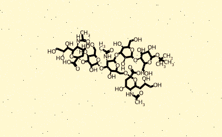 CC(=O)N[C@@H]1C(OC2[C@H](O)C(O[C@@H]3C(CO)OC(OC(C)(C)C)[C@@H](O)C3O)OC(CO)[C@@H]2O)OC(CO[C@]2(C(=O)O)C[C@@H](O)[C@@H](NC(C)=O)C(C[C@H](O)CO)O2)[C@@H](O)C1O[C@@H]1OC(CO)[C@H](O)C(O[C@@]2(C(=O)O)CC(O)[C@H](NC(C)=O)C([C@H](O)[C@H](O)CO)O2)C1O